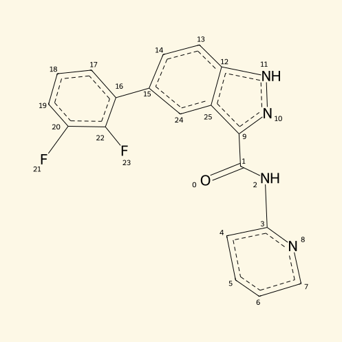 O=C(Nc1ccccn1)c1n[nH]c2ccc(-c3cccc(F)c3F)cc12